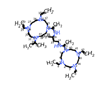 C=CN1CCN(C=C)CCN(C(=C)NCCC(NC(=C)N2CCN(C=C)CCN(C=C)CCN(C(=C)C)CC2)C(C)C)CCN(C=C)CC1